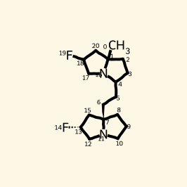 CC12CCC(CC[C@@]34CCCN3C[C@H](F)C4)N1CC(F)C2